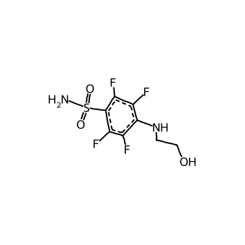 NS(=O)(=O)c1c(F)c(F)c(NCCO)c(F)c1F